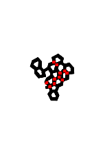 CC1(C)c2ccccc2-c2ccc(N(c3ccccc3-c3ccccc3)c3cccc(-c4cccc5ccccc45)c3-c3ccccc3-c3ccccc3)cc21